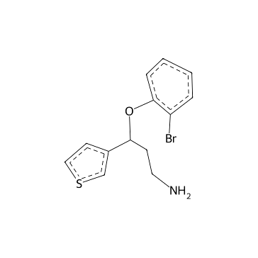 NCCC(Oc1ccccc1Br)c1ccsc1